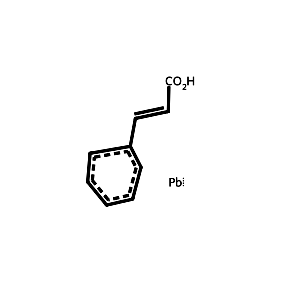 O=C(O)C=Cc1ccccc1.[Pb]